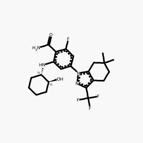 CC1(C)CCc2c(C(F)(F)F)nn(-c3cc(F)c(C(N)=O)c(N[C@H]4CCCC[C@@H]4O)c3)c2C1